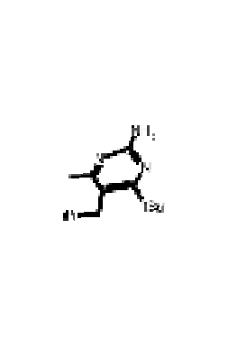 Cc1nc(N)nc(C(C)(C)C)c1CC(C)C